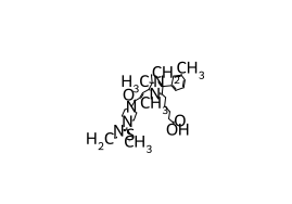 C=C/N=C(\SC)N1CCN(C(=O)/C(C)=C/C2N=C(CCCCC(=O)O)C(c3cccc(C)c3)=NC2(C)C=C)CC1